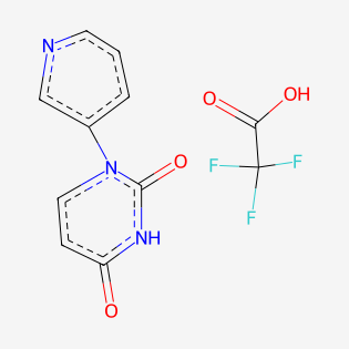 O=C(O)C(F)(F)F.O=c1ccn(-c2cccnc2)c(=O)[nH]1